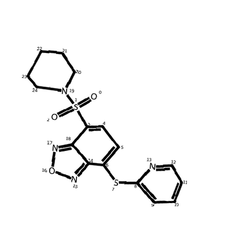 O=S(=O)(c1ccc(Sc2ccccn2)c2nonc12)N1CCCCC1